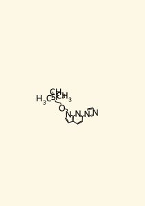 C[Si](C)(C)CCOCn1ccc2ccc(-n3ccnc3)nc21